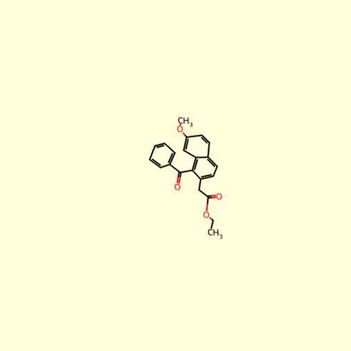 CCOC(=O)Cc1ccc2ccc(OC)cc2c1C(=O)c1ccccc1